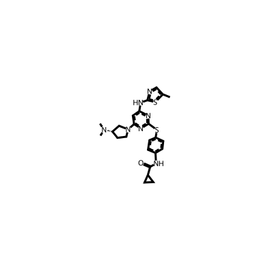 Cc1cnc(Nc2cc(N3CC[C@H](N(C)C)C3)nc(Sc3ccc(NC(=O)C4CC4)cc3)n2)s1